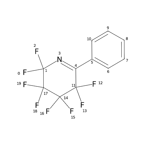 FC1(F)N=C(c2ccccc2)C(F)(F)C(F)(F)C1(F)F